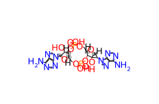 Nc1ncnc2c1ncn2C1[C@@H]2O[C@@H]3COP(=O)(O)O[C@@H]4C(O)[C@H](n5cnc6c(N)ncnc65)O[C@@H]4COP(=O)(O)OC3C12O